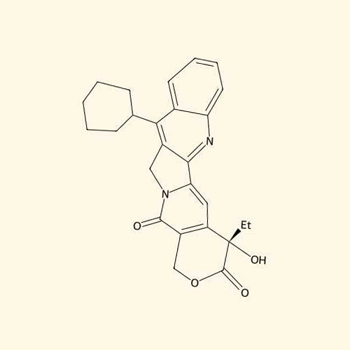 CC[C@@]1(O)C(=O)OCc2c1cc1n(c2=O)Cc2c-1nc1ccccc1c2C1CCCCC1